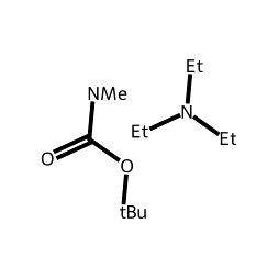 CCN(CC)CC.CNC(=O)OC(C)(C)C